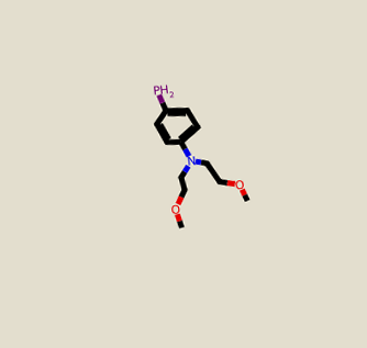 COCCN(CCOC)c1ccc(P)cc1